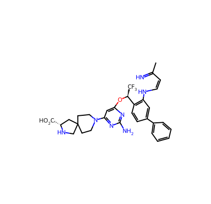 CC(=N)/C=C\Nc1cc(-c2ccccc2)ccc1[C@@H](Oc1cc(N2CCC3(CC2)CN[C@H](C(=O)O)C3)nc(N)n1)C(F)(F)F